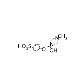 CN1CCN(C(O)COc2ccc(S(=O)(=O)O)cc2)CC1